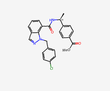 COC(=O)c1ccc([C@H](C)NC(=O)c2cccc3cnn(Cc4ccc(Cl)cc4)c23)cc1